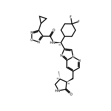 C[C@H]1CNC(=O)[C@@H]1Cc1cnn2cc([C@@H](NC(=O)c3nonc3C3CC3)C3CCC(F)(F)CC3)nc2c1